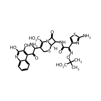 CC(C)(O/N=C(\C(=O)NC1C(=O)N2C(C(=O)O)=C(C(N)C(=O)c3c(O)c(O)nc4ccccc34)CS[C@H]12)c1csc(N)n1)C(=O)O